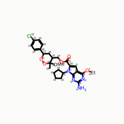 CCOc1nc(N)nc2c1cc(C(=O)OCC1CC(c3ccc(Cl)cc3)OOC1(C)OC)n2C1CCCC1